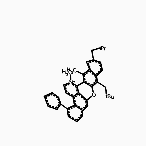 Cc1c2c(c(CC(C)(C)C)c3ccc(CC(C)C)cc13)Oc1cc3cccc(-c4ccccc4)c3c3cc[n+](C)c-2c13